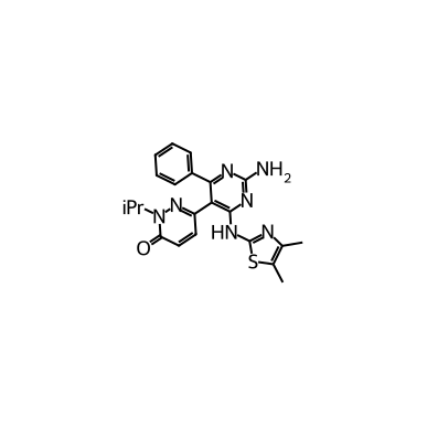 Cc1nc(Nc2nc(N)nc(-c3ccccc3)c2-c2ccc(=O)n(C(C)C)n2)sc1C